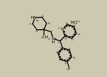 CC1(CNC(c2ccc(F)cc2)c2ccccn2)CCNCC1.Cl